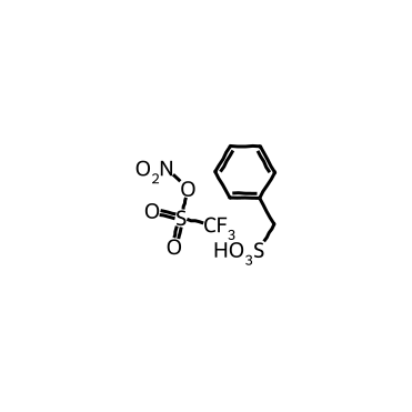 O=S(=O)(O)Cc1ccccc1.O=[N+]([O-])OS(=O)(=O)C(F)(F)F